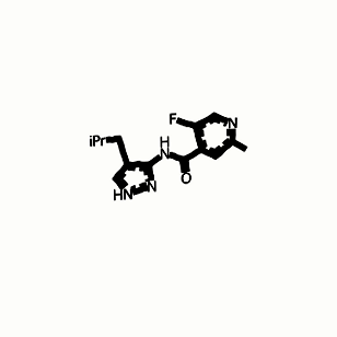 Cc1cc(C(=O)Nc2n[nH]cc2CC(C)C)c(F)cn1